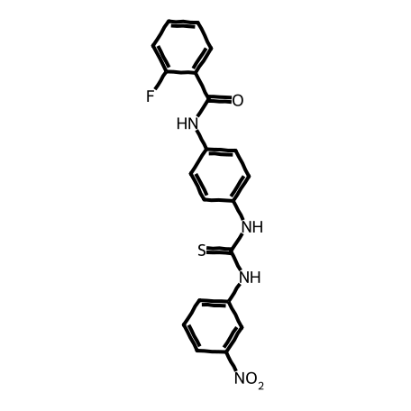 O=C(Nc1ccc(NC(=S)Nc2cccc([N+](=O)[O-])c2)cc1)c1ccccc1F